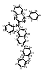 c1ccc(-c2nc(-n3c4ccccc4c4c5ccc(-c6ccc7sc8ccccc8c7c6)cc5ccc43)nc3ccccc23)cc1